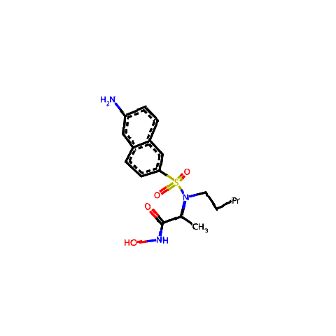 CC(C)CCN(C(C)C(=O)NO)S(=O)(=O)c1ccc2cc(N)ccc2c1